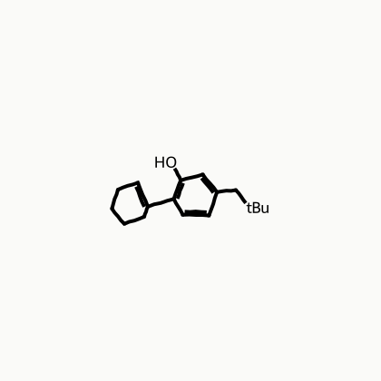 CC(C)(C)Cc1ccc(C2=CCCCC2)c(O)c1